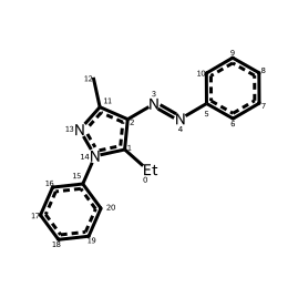 CCc1c(N=Nc2ccccc2)c(C)nn1-c1ccccc1